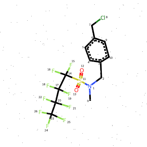 CN(Cc1ccc(CCl)cc1)S(=O)(=O)C(F)(F)C(F)(F)C(F)(F)C(F)(F)F